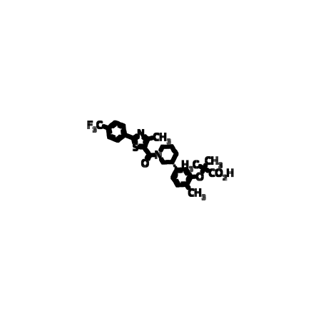 Cc1ccc([C@H]2CCCN(C(=O)c3sc(-c4ccc(C(F)(F)F)cc4)nc3C)C2)cc1OC(C)(C)C(=O)O